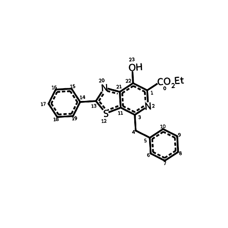 CCOC(=O)c1nc(Cc2ccccc2)c2sc(-c3ccccc3)nc2c1O